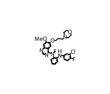 COc1cc2ncnc(N(F)c3ccccc3Nc3ccc(F)c(Cl)c3)c2cc1OCCCN1CCOCC1